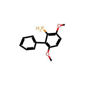 COc1ccc(OC)c(-c2ccccc2)c1P